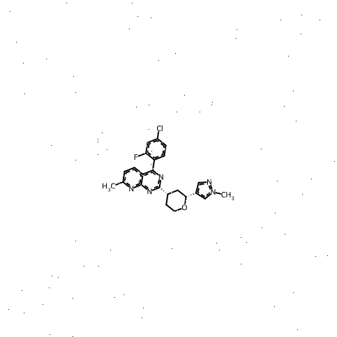 Cc1ccc2c(-c3ccc(Cl)cc3F)nc([C@H]3CCO[C@@H](c4cnn(C)c4)C3)nc2n1